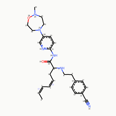 C/C=C\C=C/CC(NCCc1ccc(C#N)cc1)C(=O)Nc1ccc(N2CCON(C)CC2)cn1